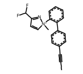 CC#Cc1ccc(-c2ccccc2[N+]2(C)C=CC(C(F)F)=N2)cc1